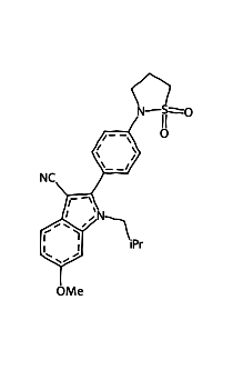 COc1ccc2c(C#N)c(-c3ccc(N4CCCS4(=O)=O)cc3)n(CC(C)C)c2c1